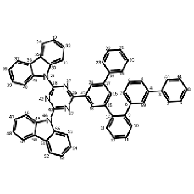 c1ccc(-c2cccc(-c3ccccc3-c3cc(-c4ccccc4)cc(-c4nc(-n5c6ccccc6c6ccccc65)nc(-n5c6ccccc6c6ccccc65)n4)c3)c2)cc1